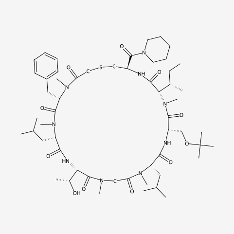 CC[C@H](C)[C@H]1C(=O)N[C@H](C(=O)N2CCCCC2)CSCC(=O)N(C)[C@@H](Cc2ccccc2)C(=O)N(C)[C@@H](CC(C)C)C(=O)N[C@@H]([C@@H](C)O)C(=O)N(C)CC(=O)N(C)[C@@H](CC(C)C)C(=O)N[C@@H](COC(C)(C)C)C(=O)N1C